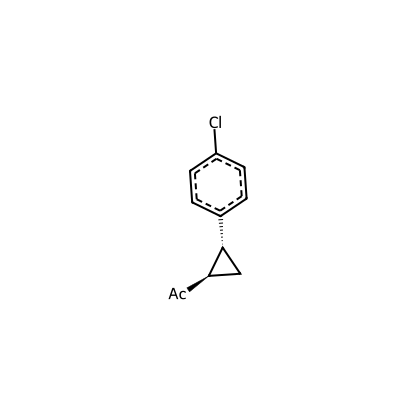 CC(=O)[C@@H]1C[C@H]1c1ccc(Cl)cc1